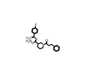 C=C(/N=C(\ON)C1CCCN(C(=O)CCc2ccccc2)C1)c1ccc(F)cc1